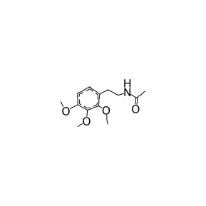 COc1ccc(CCNC(C)=O)c(OC)c1OC